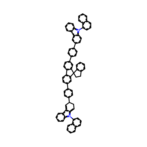 C1=c2c(n(-c3cccc4ccccc34)c3ccccc23)=CCC1c1ccc(-c2ccc3c(c2)C2(CCc4ccccc42)c2cc(-c4ccc(-c5ccc6c(c5)c5ccccc5n6-c5cccc6ccccc56)cc4)ccc2-3)cc1